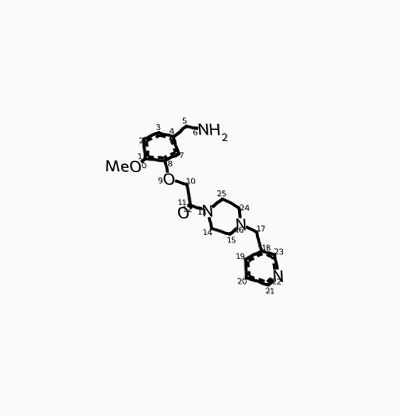 COc1ccc(CN)cc1OCC(=O)N1CCN(Cc2cccnc2)CC1